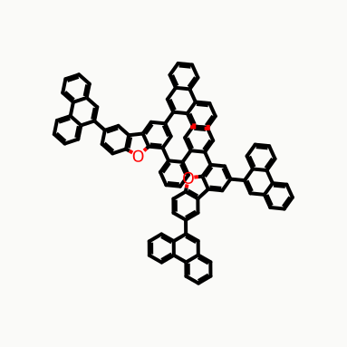 c1ccc(-c2cc(-c3cc4ccccc4c4ccccc34)cc3c2oc2ccc(-c4cc5ccccc5c5ccccc45)cc23)c(-c2ccccc2-c2cc(-c3cc4ccccc4c4ccccc34)cc3c2oc2ccc(-c4cc5ccccc5c5ccccc45)cc23)c1